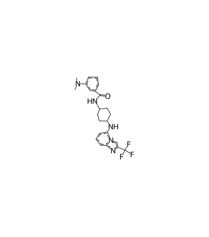 CN(C)c1cccc(C(=O)NC2CCC(Nc3cccc4nc(C(F)(F)F)cn34)CC2)c1